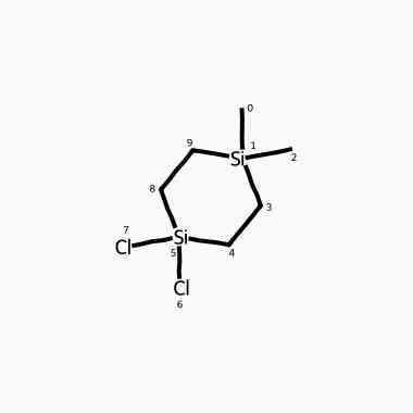 C[Si]1(C)CC[Si](Cl)(Cl)CC1